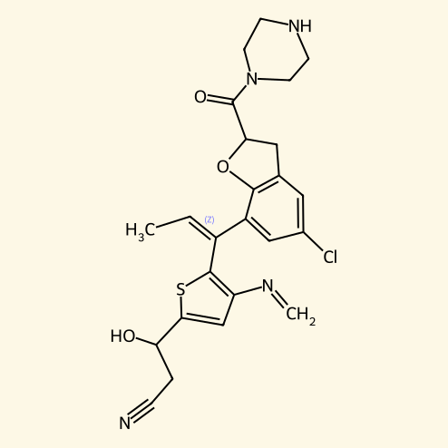 C=Nc1cc(C(O)CC#N)sc1/C(=C\C)c1cc(Cl)cc2c1OC(C(=O)N1CCNCC1)C2